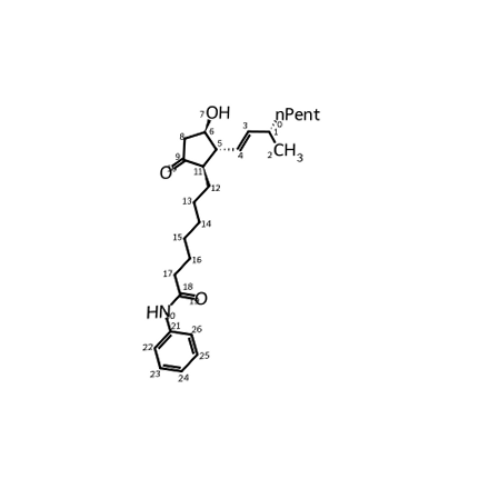 CCCCC[C@H](C)/C=C/[C@H]1[C@H](O)CC(=O)[C@@H]1CCCCCCC(=O)Nc1ccccc1